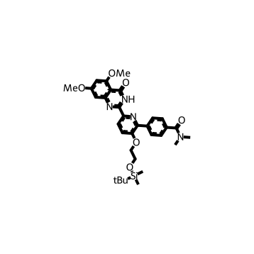 COc1cc(OC)c2c(=O)[nH]c(-c3ccc(OCCO[Si](C)(C)C(C)(C)C)c(-c4ccc(C(=O)N(C)C)cc4)n3)nc2c1